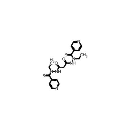 CCN(NC(=O)CC(=O)NN(CC)C(=S)c1ccncc1)C(=S)c1ccncc1